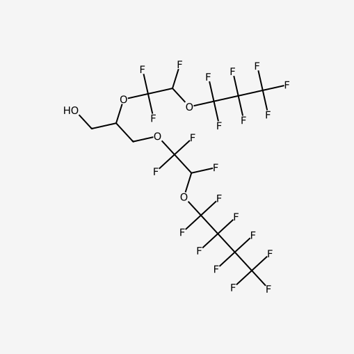 OCC(COC(F)(F)C(F)OC(F)(F)C(F)(F)C(F)(F)C(F)(F)F)OC(F)(F)C(F)OC(F)(F)C(F)(F)C(F)(F)F